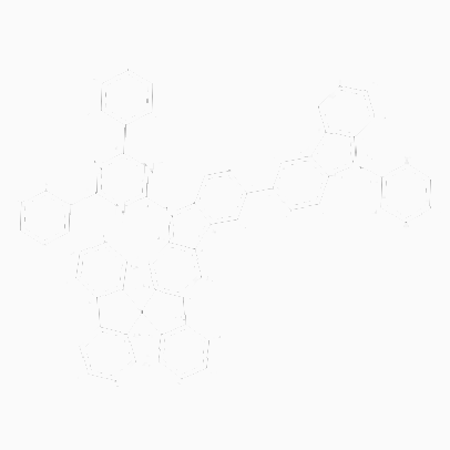 c1ccc(-c2nc(-c3ccccc3)nc(-n3c4ccc(-c5ccc6c(c5)c5ccccc5n6-c5ccccc5)cc4c4cc5c(cc43)C3(c4ccccc4-c4ccccc43)c3ccccc3-5)n2)cc1